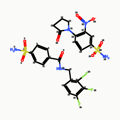 NS(=O)(=O)c1ccc(C(=O)NCc2ccc(F)c(F)c2F)cc1.NS(=O)(=O)c1ccc(N2CCCC2=O)c([N+](=O)[O-])c1